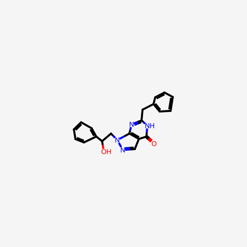 O=c1[nH]c(Cc2ccccc2)nc2c1cnn2CC(O)c1ccccc1